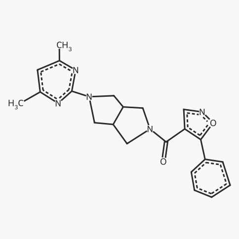 Cc1cc(C)nc(N2CC3CN(C(=O)c4cnoc4-c4ccccc4)CC3C2)n1